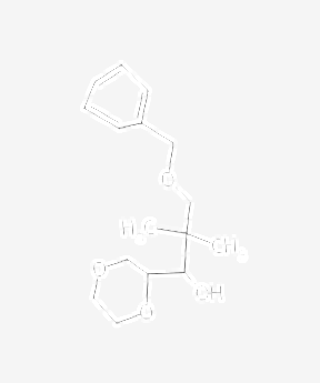 CC(C)(COCc1ccccc1)C(O)C1COCCO1